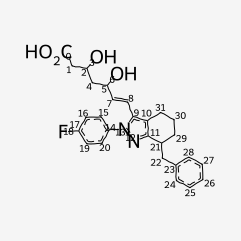 O=C(O)CC(O)CC(O)C=Cc1c2c(nn1-c1ccc(F)cc1)C(Cc1ccccc1)CCC2